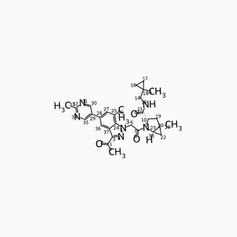 CC(=O)c1nn(CC(=O)N2[C@H](C(=O)NCC3(C)CC3)C[C@@]3(C)C[C@@H]23)c2c(C)cc(-c3cnc(C)nc3)cc12